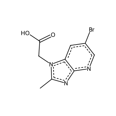 Cc1nc2ncc(Br)cc2n1CC(=O)O